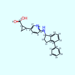 O=C(O)C1CC1c1ccc(NC2CCc3c(-c4ccccc4)cccc32)nc1